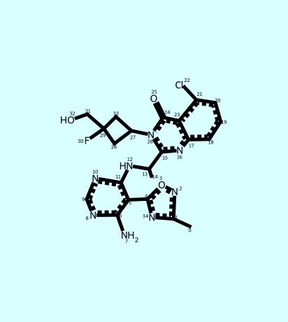 Cc1noc(-c2c(N)ncnc2NC(C)c2nc3cccc(Cl)c3c(=O)n2C2CC(F)(CO)C2)n1